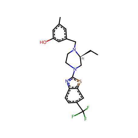 CC[C@H]1CN(c2nc3ccc(C(F)(F)F)cc3s2)CCN1Cc1cc(C)cc(O)c1